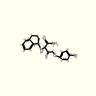 NC(=O)C(NC1CCCc2ccccc21)C(=O)COc1ccc(Br)cc1